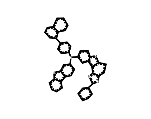 c1ccc(-c2nc3c(ccc4oc5ccc(N(c6ccc(-c7cccc8ccccc78)cc6)c6ccc7c(c6)sc6ccccc67)cc5c43)o2)cc1